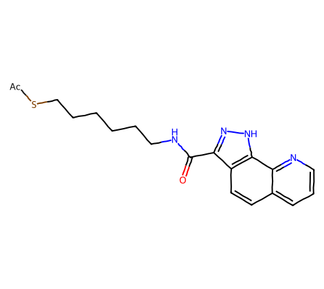 CC(=O)SCCCCCCNC(=O)c1n[nH]c2c1ccc1cccnc12